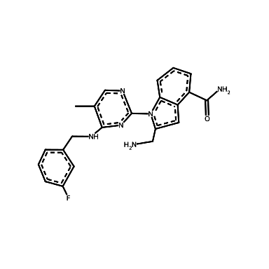 Cc1cnc(-n2c(CN)cc3c(C(N)=O)cccc32)nc1NCc1cccc(F)c1